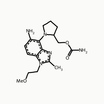 COCCn1c(C)nc2c(N3CCCC3COC(N)=O)c(N)ccc21